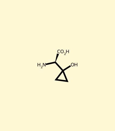 N[C@@H](C(=O)O)C1(O)CC1